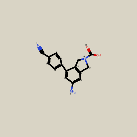 N#Cc1ccc(-c2cc(N)cc3c2CN(C(=O)O)C3)cc1